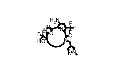 Cn1cc(CN2CCCCC[C@](O)(C(F)(F)F)c3nnc(o3)-c3nc(c(C(F)(F)F)cc3N)C2=O)cn1